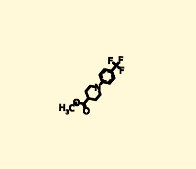 COC(=O)C1CCN(c2ccc(C(F)(F)F)cc2)CC1